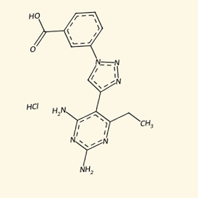 CCc1nc(N)nc(N)c1-c1cn(-c2cccc(C(=O)O)c2)nn1.Cl